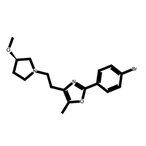 CO[C@@H]1CCN(CCc2nc(-c3ccc(Br)cc3)oc2C)C1